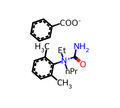 CCC[N+](CC)(C(N)=O)c1c(C)cccc1C.O=C([O-])c1ccccc1